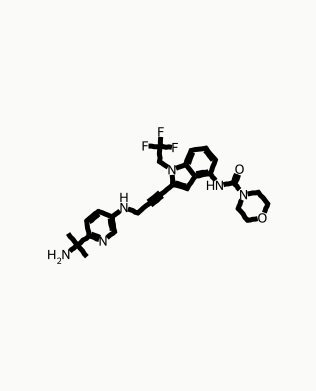 CC(C)(N)c1ccc(NCC#Cc2cc3c(NC(=O)N4CCOCC4)cccc3n2CC(F)(F)F)cn1